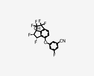 N#Cc1cc(F)cc(Oc2ccc3c4c2[C@H](F)[C@@H](F)[C@]4(O)C(F)(F)C3(F)F)c1